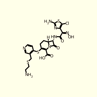 NCCSCc1cnccc1SC1=C(C(=O)O)N2C(=O)[C@@H](NC(=O)/C(=N\O)c3nc(N)sc3Cl)[C@H]2CC1